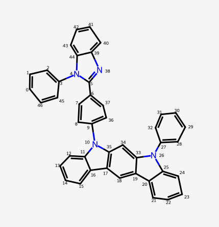 c1ccc(-n2c(-c3ccc(-n4c5ccccc5c5cc6c7ccccc7n(-c7ccccc7)c6cc54)cc3)nc3ccccc32)cc1